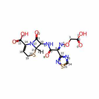 O=C(O)CON=C(C(=O)NC1C(=O)N2C(C(=O)O)=CCS[C@@H]12)c1ncsn1